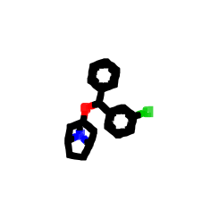 CN1C2CCC1CC(OC(c1ccccc1)c1cccc(Cl)c1)C2